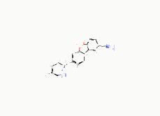 Cc1ccc(-c2ccc3c(c2)oc2ccc(C#N)cc23)nc1